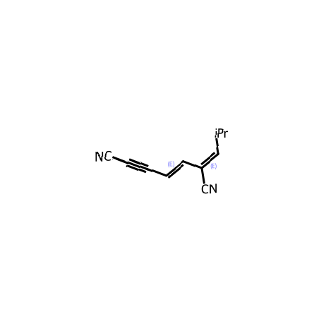 CC(C)/C=C(C#N)\C=C\C#CC#N